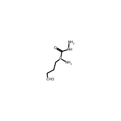 NNC(=O)N(N)CCCC=O